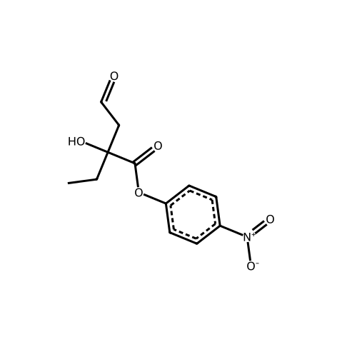 CCC(O)(CC=O)C(=O)Oc1ccc([N+](=O)[O-])cc1